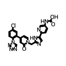 O=C(O)Nc1ccc(-c2cnc(Cn3ccc(-c4cc(Cl)ccc4-n4cnnn4)cc3=O)[nH]2)nc1